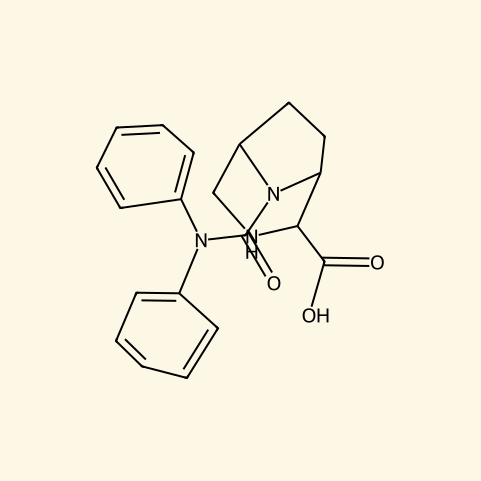 O=C(O)C1NCC2CCC1N2C(=O)N(c1ccccc1)c1ccccc1